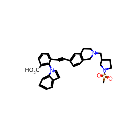 CS(=O)(=O)N1CCC(CN2CCc3cc(C#Cc4cccc(C(=O)O)c4-n4ccc5ccccc54)ccc3C2)C1